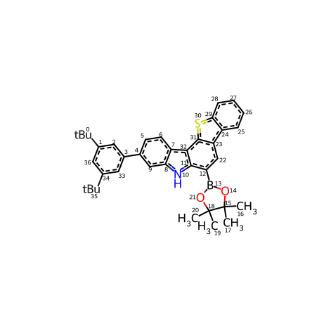 CC(C)(C)c1cc(-c2ccc3c(c2)[nH]c2c(B4OC(C)(C)C(C)(C)O4)cc4c5ccccc5sc4c23)cc(C(C)(C)C)c1